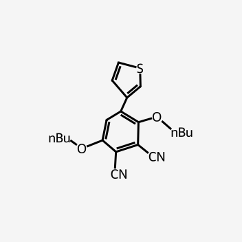 CCCCOc1cc(-c2ccsc2)c(OCCCC)c(C#N)c1C#N